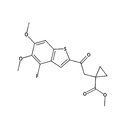 COC(=O)C1(CC(=O)c2cc3c(F)c(OC)c(OC)cc3s2)CC1